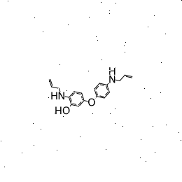 C=CCNc1ccc(Oc2ccc(NCC=C)c(O)c2)cc1